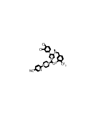 CN(Cc1ccc(C(F)(F)F)c(F)c1)[C@@H]1CN(C(=O)N2CCN(c3ccc(C#N)cn3)CC2)C[C@@H]1c1ccc(Cl)c(Cl)c1